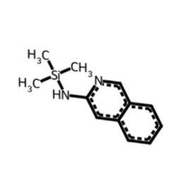 C[Si](C)(C)Nc1cc2ccccc2cn1